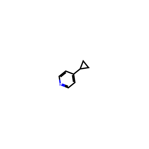 [CH]1CC1c1ccncc1